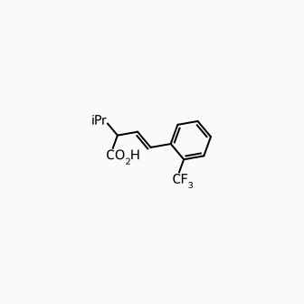 CC(C)C(C=Cc1ccccc1C(F)(F)F)C(=O)O